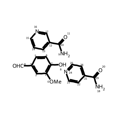 COc1cc(C=O)ccc1O.NC(=O)c1cccnc1.NC(=O)c1ccncc1